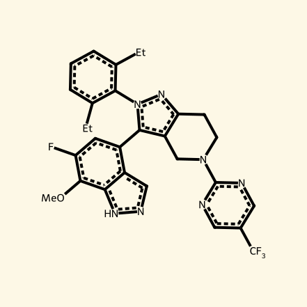 CCc1cccc(CC)c1-n1nc2c(c1-c1cc(F)c(OC)c3[nH]ncc13)CN(c1ncc(C(F)(F)F)cn1)CC2